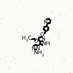 CCCOc1cc(OCc2ccc(-c3ccccn3)cc2)nc2[nH]cc(-c3ccnc(N)n3)c12